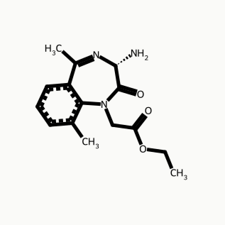 CCOC(=O)CN1C(=O)[C@@H](N)N=C(C)c2cccc(C)c21